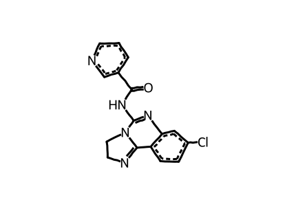 O=C(NC1=Nc2cc(Cl)ccc2C2=NCCN12)c1cccnc1